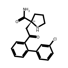 NC(=O)[C@]1([CH]C(=O)c2ccccc2-c2cccc(Cl)c2)CCCN1